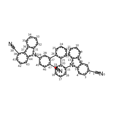 N#Cc1ccc2c(c1)c1ccccc1n2-c1ccccc1-c1ccccc1-c1cc(-n2c3ccccc3c3c(C#N)cccc32)ccc1C#N